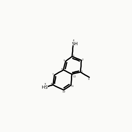 Cc1cc(S)cc2cc(S)ccc12